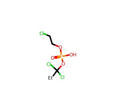 CCC(Cl)(Cl)OP(=O)(O)OCCCl